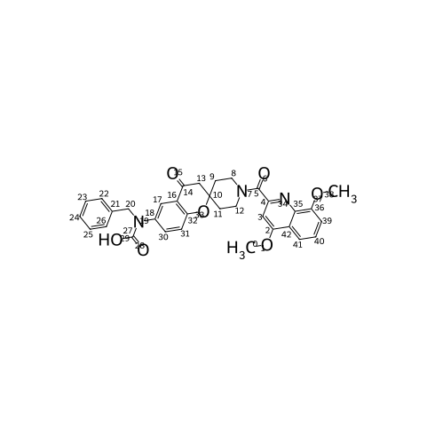 COc1cc(C(=O)N2CCC3(CC2)CC(=O)c2cc(N(Cc4ccccc4)C(=O)O)ccc2O3)nc2c(OC)cccc12